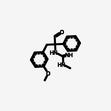 CNC(=N)NC(C=O)(Cc1cccc(OC)c1)c1ccccc1